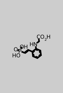 O=C(O)CNc1ccccc1C=CP(=O)(O)O